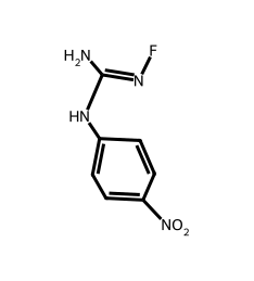 NC(=NF)Nc1ccc([N+](=O)[O-])cc1